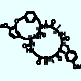 COc1ccc(C[C@H]2C(=O)N[C@@H](C)C(=O)N(C)[C@H]3Cc4ccc(cc4)Oc4cc(ccc4OC)C[C@H](NC3=O)C(=O)NCC(=O)N[C@@H](C)C(=O)N2C)cc1